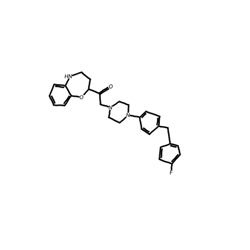 O=C(CN1CCN(c2ccc(Cc3ccc(F)cc3)cc2)CC1)C1CCNc2ccccc2O1